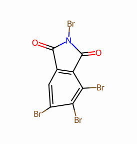 O=C1c2cc(Br)c(Br)c(Br)c2C(=O)N1Br